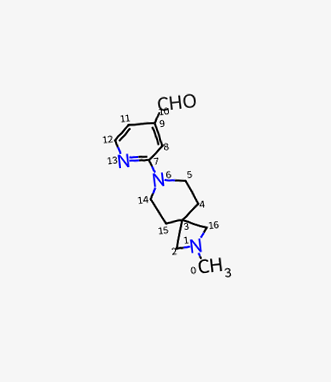 CN1CC2(CCN(c3cc(C=O)ccn3)CC2)C1